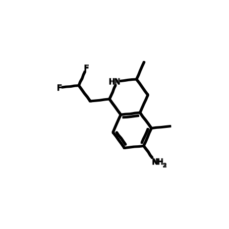 Cc1c(N)ccc2c1CC(C)NC2CC(F)F